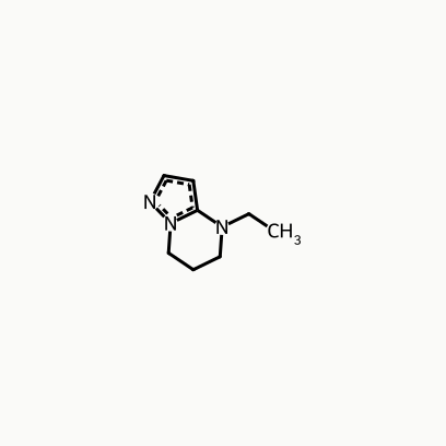 CCN1CCCn2nccc21